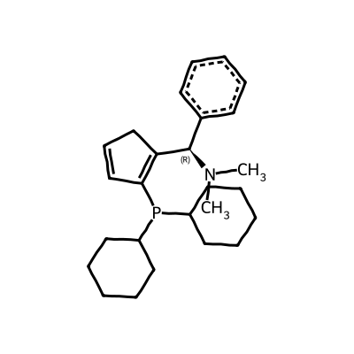 CN(C)[C@@H](C1=C(P(C2CCCCC2)C2CCCCC2)C=CC1)c1ccccc1